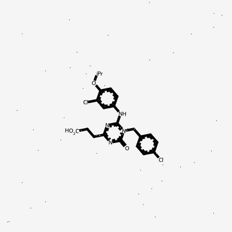 CC(C)Oc1ccc(Nc2nc(CCC(=O)O)nc(=O)n2Cc2ccc(Cl)cc2)cc1Cl